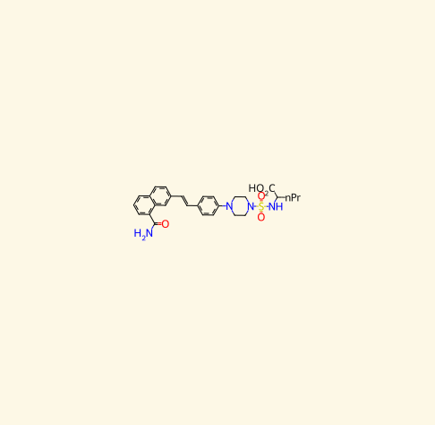 CCCC(NS(=O)(=O)N1CCN(c2ccc(C=Cc3ccc4cccc(C(N)=O)c4c3)cc2)CC1)C(=O)O